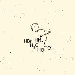 Br.CNC(CC(F)(F)Cc1ccccc1)C(=O)O